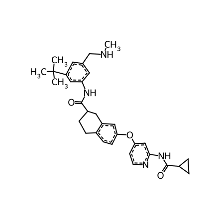 CNCc1cc(NC(=O)C2CCc3ccc(Oc4ccnc(NC(=O)C5CC5)c4)cc3C2)cc(C(C)(C)C)c1